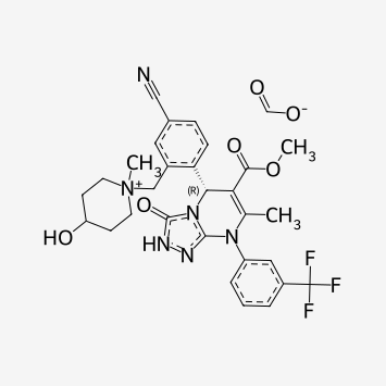 COC(=O)C1=C(C)N(c2cccc(C(F)(F)F)c2)c2n[nH]c(=O)n2[C@@H]1c1ccc(C#N)cc1C[N+]1(C)CCC(O)CC1.O=C[O-]